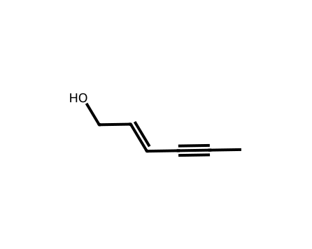 CC#CC=CCO